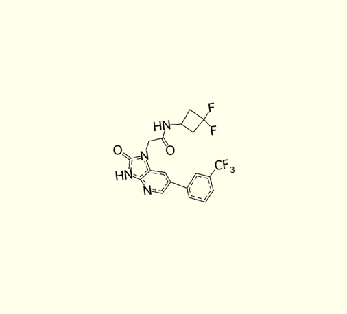 O=C(Cn1c(=O)[nH]c2ncc(-c3cccc(C(F)(F)F)c3)cc21)NC1CC(F)(F)C1